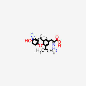 CC(C)c1cc(C[C@H](N)C(=O)O)cc(C(C)C)c1OC1=CCC(N)(O)C=C1